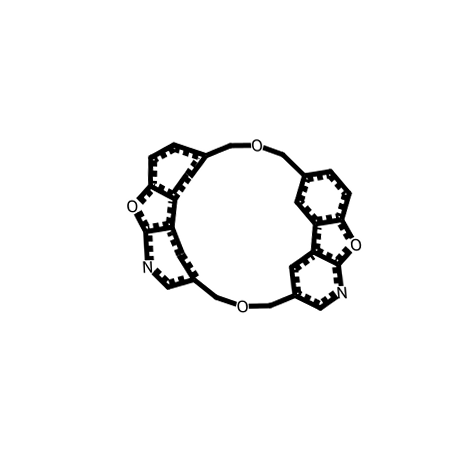 c1cc2oc3ncc4cc3c2cc1COCc1ccc2oc3ncc(cc3c2c1)COC4